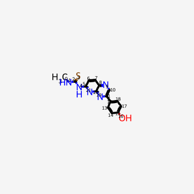 CNC(=S)Nc1ccc2ncc(-c3ccc(O)cc3)nc2n1